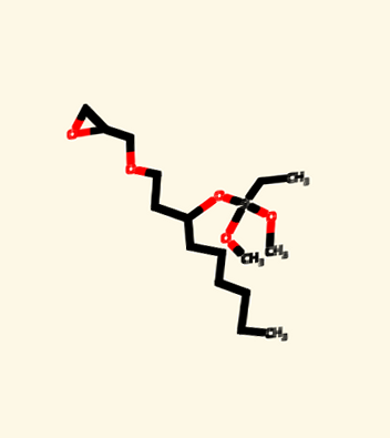 CCCCCCC(CCOCC1CO1)O[Si](CC)(OC)OC